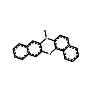 CN1c2cc3ccccc3cc2Oc2c1ccc1ccccc21